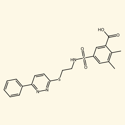 Cc1cc(S(=O)(=O)NCCSc2ccc(-c3ccccc3)nn2)cc(C(=O)O)c1C